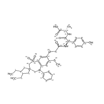 CCCCC1(CCCC)CN(c2ccccc2)c2cc(SC)c(OCC(=O)N[C@@H](C(=O)N[C@@H](C)C(=O)O)c3ccc(O)cc3)cc2S(=O)(=O)C1